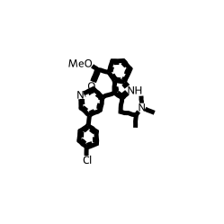 COC(=O)c1cccc2[nH]c(CC(C)N(C)C)c(-c3cncc(-c4ccc(Cl)cc4)c3)c12